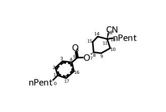 CCCCCc1ccc(C(=O)O[C@H]2CC[C@@](C#N)(CCCCC)CC2)cc1